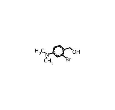 CN(C)c1ccc(CO)c(Br)c1